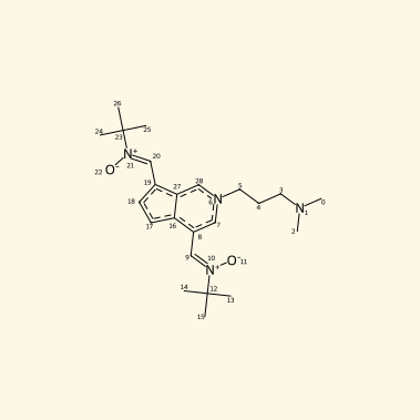 CN(C)CCCn1cc(/C=[N+](\[O-])C(C)(C)C)c2ccc(/C=[N+](\[O-])C(C)(C)C)c-2c1